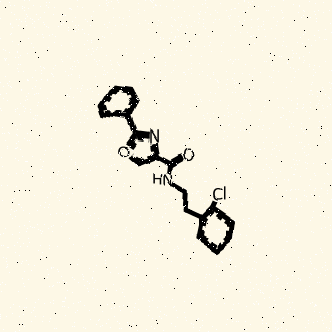 O=C(NCCc1ccccc1Cl)c1coc(-c2ccccc2)n1